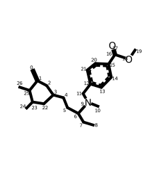 C=C1CC(CCC(CC)N(C)Cc2ccc(C(=O)OC)cc2)CC(C)C1C